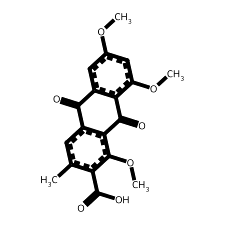 COc1cc(OC)c2c(c1)C(=O)c1cc(C)c(C(=O)O)c(OC)c1C2=O